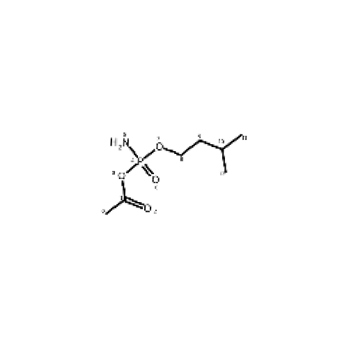 CC(=O)OP(N)(=O)OCCC(C)C